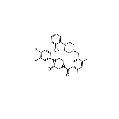 Cc1cc(C)c(C(=O)N2CCN(c3ccc(F)c(F)c3)C(=O)C2)cc1CN1CCN(c2ccccc2C#N)CC1